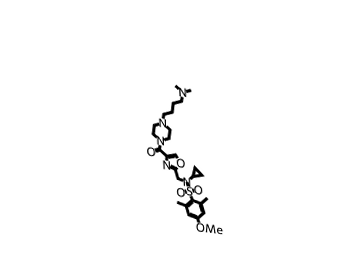 COc1cc(C)c(S(=O)(=O)N(Cc2nc(C(=O)N3CCN(CCCCN(C)C)CC3)co2)C2CC2)c(C)c1